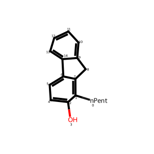 CCCCCc1c(O)ccc2c1Cc1ccccc1-2